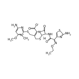 CCO/N=C(\C(=O)NC1C(=O)N2C(C(=O)[O-])=C(CSc3nc(N)cc(OC)[n+]3C)CS[C@H]12)c1csc(N)n1